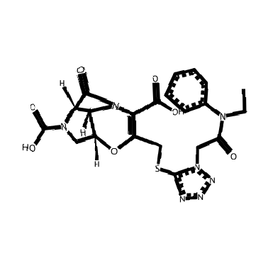 CCN(C(=O)Cn1nnnc1SCC1=C(C(=O)O)N2C(=O)[C@@H]3[C@H]2[C@@H](CN3C(=O)O)O1)c1ccccc1